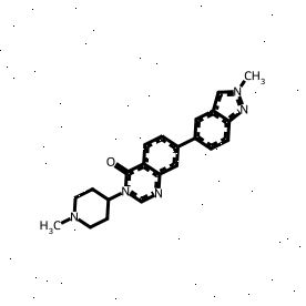 CN1CCC(n2cnc3cc(-c4ccc5nn(C)cc5c4)ccc3c2=O)CC1